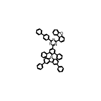 c1ccc(-c2ccc(-c3nc(-c4cc(-c5ccccc5)c(-n5c6ccc(-c7ccccc7)cc6c6cc(-c7ccccc7)ccc65)c(-c5ccccc5)c4)nc(-c4cccc5oc6ccccc6c45)n3)cc2)cc1